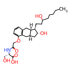 CCCCC[C@H](O)CC[C@@H]1[C@H]2Cc3cccc(OCC(=O)N[C@@H](CO)C(=O)O)c3C[C@H]2C[C@H]1O